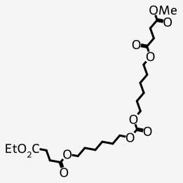 CCOC(=O)CCC(=O)OCCCCCCOC(=O)OCCCCCCOC(=O)CCC(=O)OC